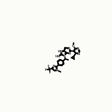 COc1ncnc(C2CC2)c1-c1ncc2[nH]c(=N)n(C(C)c3ccc(-c4nc(C(F)(F)F)cn4C)cc3)c2n1